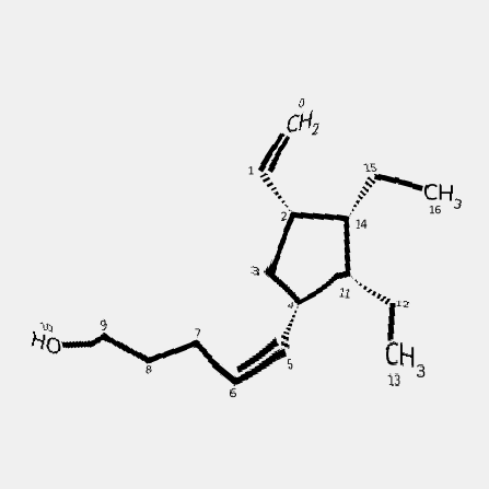 C=C[C@H]1C[C@@H](/C=C\CCCO)[C@@H](CC)[C@H]1CC